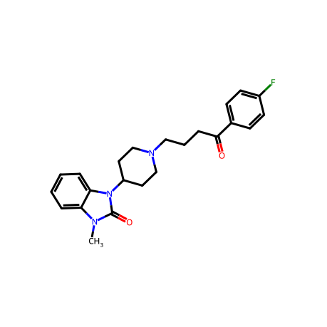 Cn1c(=O)n(C2CCN(CCCC(=O)c3ccc(F)cc3)CC2)c2ccccc21